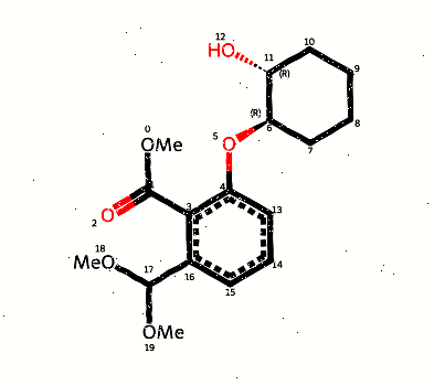 COC(=O)c1c(O[C@@H]2CCCC[C@H]2O)cccc1C(OC)OC